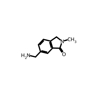 CN1Cc2ccc(CN)cc2C1=O